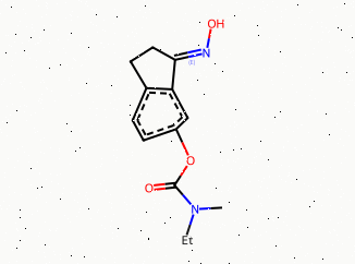 CCN(C)C(=O)Oc1ccc2c(c1)/C(=N/O)CC2